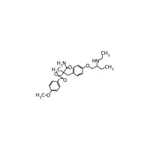 CCNC(CC)COc1ccc(CC(C)(C(N)=O)S(=O)(=O)c2ccc(OC)cc2)cc1